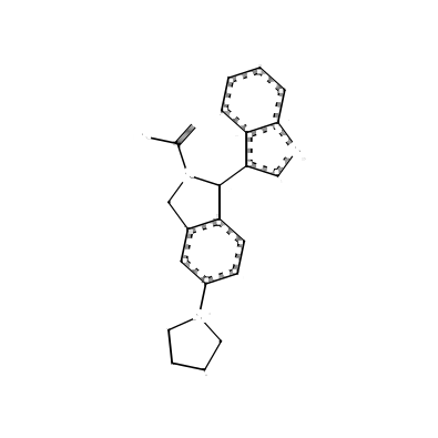 NC(=O)N1Cc2cc(N3CCCC3)ccc2C1c1c[nH]c2ccccc12